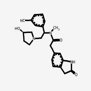 CN(C(=O)Cc1ccc2c(c1)NC(=O)C2)C(CN1CC[C@@H](O)C1)c1cccc(C#N)c1